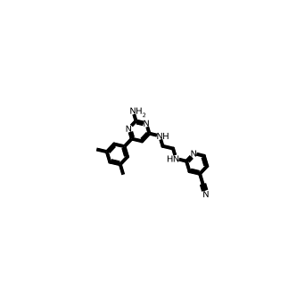 Cc1cc(C)cc(-c2cc(NCCNc3cc(C#N)ccn3)nc(N)n2)c1